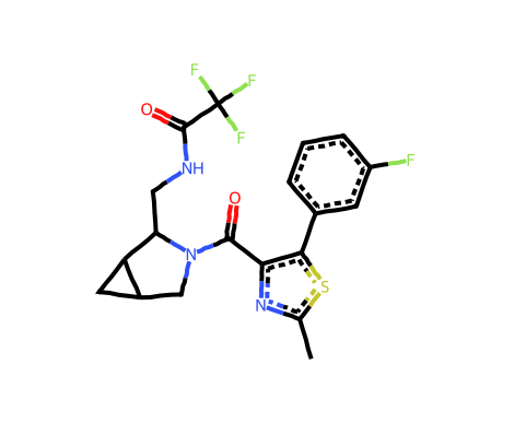 Cc1nc(C(=O)N2CC3CC3C2CNC(=O)C(F)(F)F)c(-c2cccc(F)c2)s1